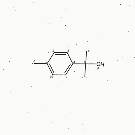 [CH2]c1ccc(C(C)(C)O)cc1